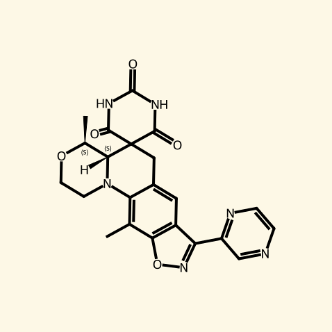 Cc1c2c(cc3c(-c4cnccn4)noc13)CC1(C(=O)NC(=O)NC1=O)[C@H]1[C@H](C)OCCN21